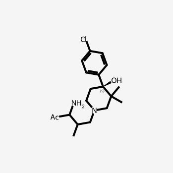 CC(=O)C(N)C(C)CN1CC[C@](O)(c2ccc(Cl)cc2)C(C)(C)C1